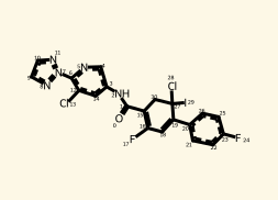 O=C(Nc1cnc(-n2nccn2)c(Cl)c1)C1=C(F)C=C(c2ccc(F)cc2)C(Cl)(I)C1